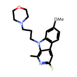 COc1ccc2c3cc(F)nc(C)c3n(CCCN3CCOCC3)c2c1